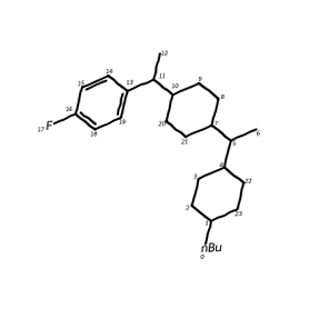 CCCCC1CCC(C(C)C2CCC(C(C)c3ccc(F)cc3)CC2)CC1